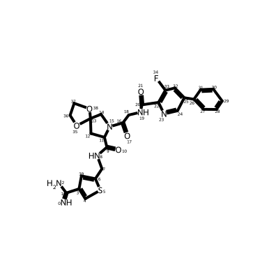 N=C(N)c1csc(CNC(=O)C2CC3(CN2C(=O)CNC(=O)c2ncc(-c4ccccc4)cc2F)OCCO3)c1